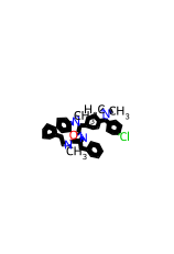 CN(CCc1ccccc1)c1oc(C(C2CCC(C(c3ccc(Cl)cc3)N(C)C)CC2)N(C)c2ccccc2)nc1Cc1ccccc1